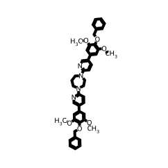 COc1cc(-c2ccc(N3CCCN(c4ccc(-c5cc(OC)c(OCc6ccccc6)c(OC)c5)cn4)CC3)nc2)cc(OC)c1OCc1ccccc1